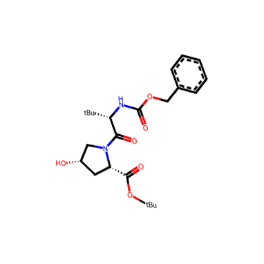 CC(C)(C)OC(=O)[C@@H]1C[C@H](O)CN1C(=O)[C@@H](NC(=O)OCc1ccccc1)C(C)(C)C